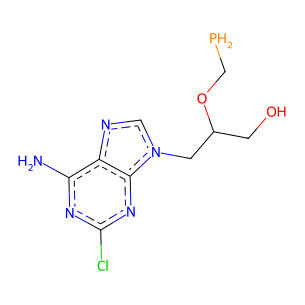 Nc1nc(Cl)nc2c1ncn2CC(CO)OCP